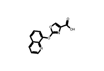 O=C(O)c1coc(Oc2cccc3cccnc23)n1